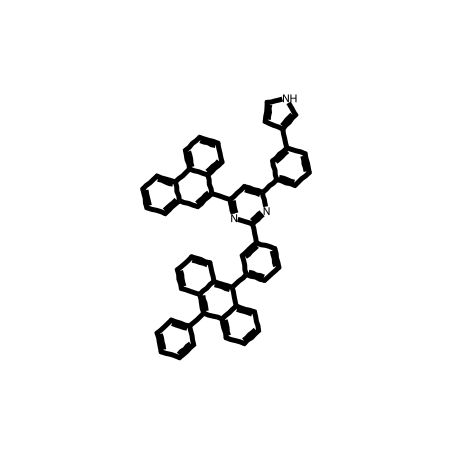 c1ccc(-c2c3ccccc3c(-c3cccc(-c4nc(-c5cccc(-c6cc[nH]c6)c5)cc(-c5cc6ccccc6c6ccccc56)n4)c3)c3ccccc23)cc1